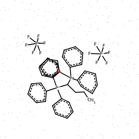 CCCC([P+](c1ccccc1)(c1ccccc1)c1ccccc1)[P+](c1ccccc1)(c1ccccc1)c1ccccc1.F[P-](F)(F)(F)(F)F.F[P-](F)(F)(F)(F)F